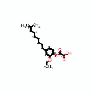 CCOc1cc(CCCCCCCC(C)C)ccc1OC(=O)C(=O)O